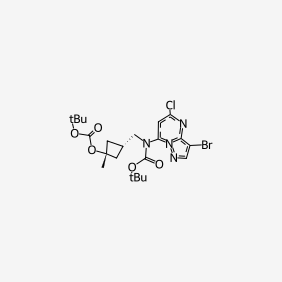 CC(C)(C)OC(=O)O[C@]1(C)C[C@H](CN(C(=O)OC(C)(C)C)c2cc(Cl)nc3c(Br)cnn23)C1